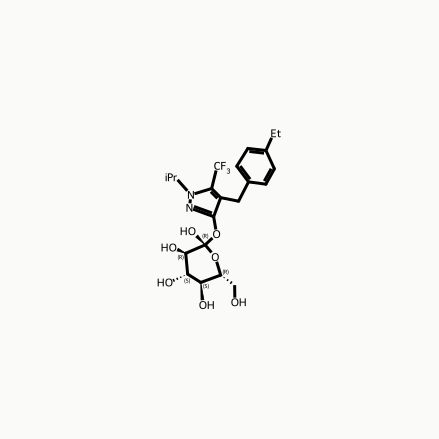 CCc1ccc(Cc2c(O[C@]3(O)O[C@H](CO)[C@@H](O)[C@H](O)[C@H]3O)nn(C(C)C)c2C(F)(F)F)cc1